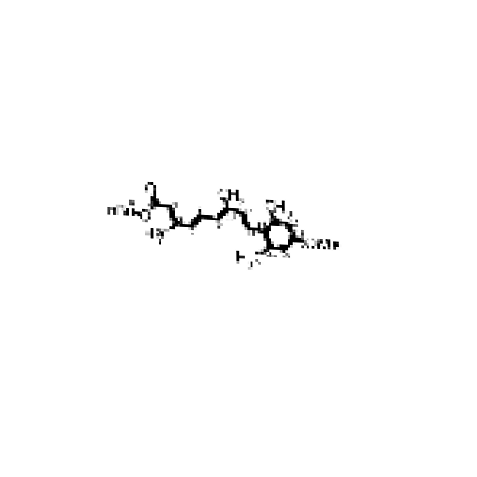 CCCCOC(=O)C=C(C)C=CC=C(C)C=Cc1c(C)cc(OC)cc1C